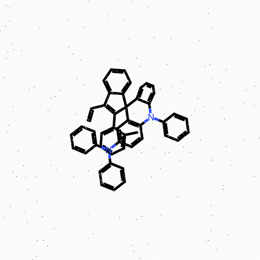 C=CC1=C(c2ccccc2C)C2(c3ccccc31)c1ccccc1N(c1ccccc1)c1ccc(N(c3ccccc3)c3ccccc3)cc12